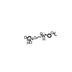 CC[C@H](C)Oc1cccc([C@@H](C)N[S+]([O-])CCCOCn2ccc(=O)[nH]c2=O)c1